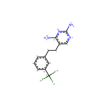 Nc1ncc(CCc2cccc(C(F)(F)F)c2)c(N)n1